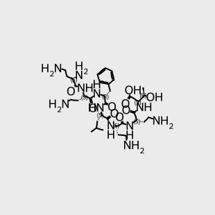 CC(C)C[C@H](NC(=O)[C@@H](Cc1ccccc1)NC(=O)[C@H](CCN)NC(=O)[C@@H](N)CCN)C(=O)N[C@@H](CCN)C(=O)N[C@@H](CCN)C(=O)N[C@H](C(=O)O)[C@@H](C)O